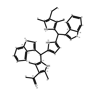 CCc1c(C)[nH]c(C(c2ccc(C(c3[nH]c(C)c(C(C)=O)c3C)c3csc4ccccc34)[nH]2)c2csc3ccccc23)c1C